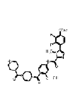 COc1ccc(-c2cnc(C(=O)Nc3ccc(C(=O)N4CCN(C(=O)C5CCNCC5)CC4)c(Cl)c3)n2C)c(F)c1F.Cl